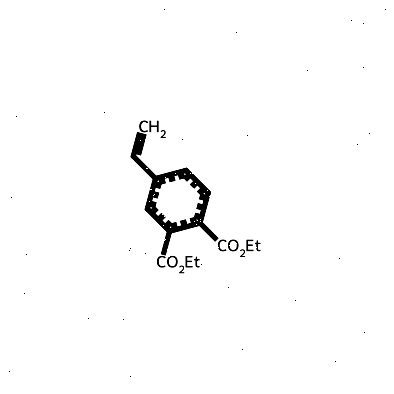 C=Cc1ccc(C(=O)OCC)c(C(=O)OCC)c1